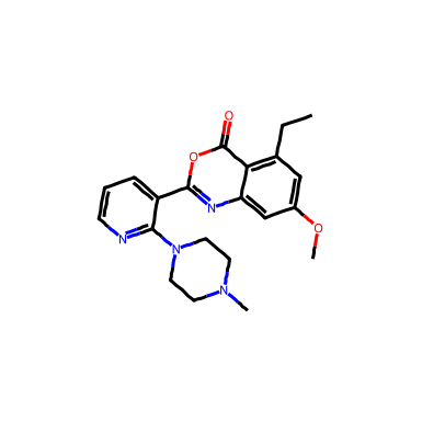 CCc1cc(OC)cc2nc(-c3cccnc3N3CCN(C)CC3)oc(=O)c12